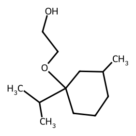 CC1CCCC(OCCO)(C(C)C)C1